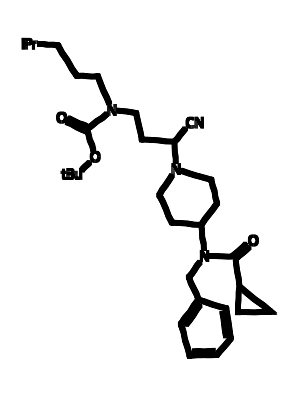 CC(C)CCCN(CCC(C#N)N1CCC(N(Cc2ccccc2)C(=O)C2CC2)CC1)C(=O)OC(C)(C)C